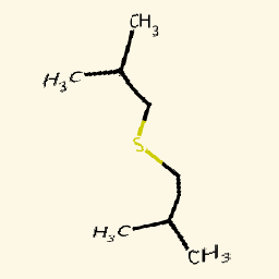 C[C](C)CSCC(C)C